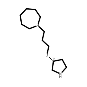 C1CCCN(CCCO[C@@H]2CCNC2)CC1